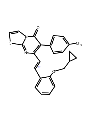 O=c1c(-c2ccc(C(F)(F)F)cc2)c(/C=C/c2ccccc2OCC2CC2)nc2sccn12